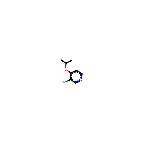 CC(C)Oc1ccncc1Br